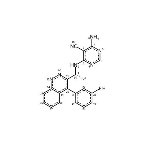 C[C@@H](Nc1ncnc(N)c1C#N)c1nnc2ccccc2c1-c1cccc(F)c1